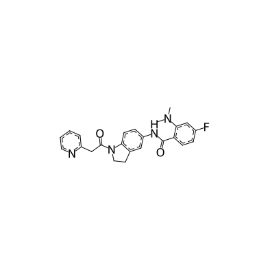 CN(C)c1cc(F)ccc1C(=O)Nc1ccc2c(c1)CCN2C(=O)Cc1ccccn1